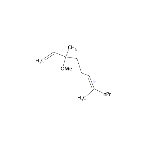 C=CC(C)(CC/C=C(\C)CCC)OC